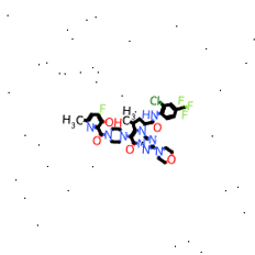 Cc1cc(F)c(O)c(C(=O)N2CCN(c3c4n(c5nc(N6CCOCC6)nn5c3=O)C(C(=O)Nc3ccc(C(F)(F)F)cc3Cl)CC4C)CC2)n1